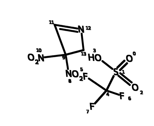 O=S(=O)(O)C(F)(F)F.O=[N+]([O-])C1([N+](=O)[O-])C=NC1